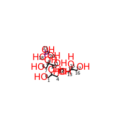 OCC(O)CO.OCC(O)CO.OCC(O)CO.OP(O)O